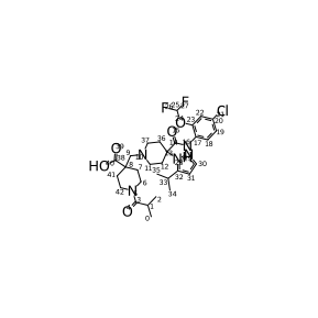 CC(C)C(=O)N1CCC(CN2CCC(C(=O)Nc3ccc(Cl)cc3OC(F)F)(n3nccc3C(C)C)CC2)(C(=O)O)CC1